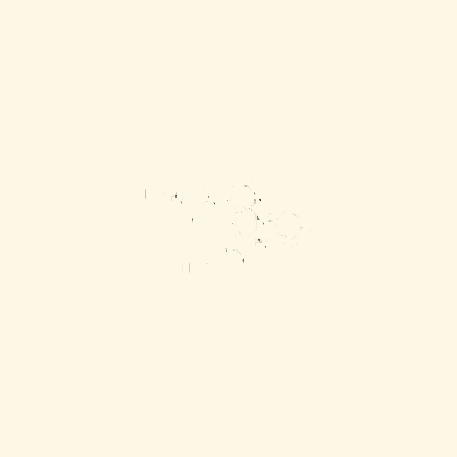 CCOC(=O)c1cc2c(N3CCCN(C)CC3)ccnc2n2c1nc1ccccc12